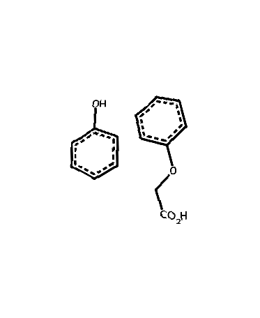 O=C(O)COc1ccccc1.Oc1ccccc1